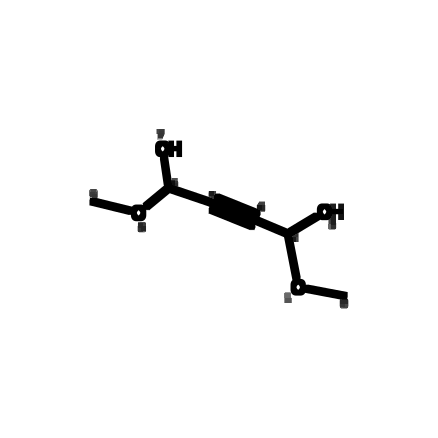 COC(O)C#CC(O)OC